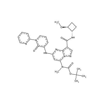 CO[C@H]1CC[C@@H]1NC(=O)c1cnn2c(N(C)C(=O)OC(C)(C)C)cc(Nc3cccn(-c4ccccn4)c3=O)nc12